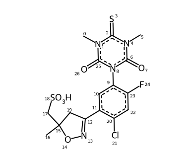 Cn1c(=S)n(C)c(=O)n(-c2cc(C3=NOC(C)(CS(=O)(=O)O)C3)c(Cl)cc2F)c1=O